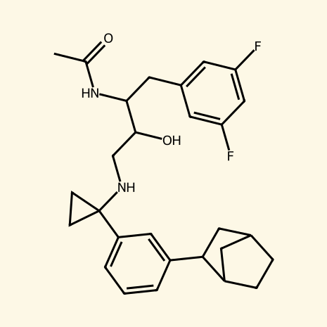 CC(=O)NC(Cc1cc(F)cc(F)c1)C(O)CNC1(c2cccc(C3CC4CCC3C4)c2)CC1